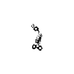 COc1ccc(CCN(C)C(F)(F)C(F)(F)C(F)(F)C(F)(F)n2c3ccccc3c3ccccc32)cc1